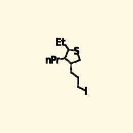 CCCC1C(CCCI)CSC1CC